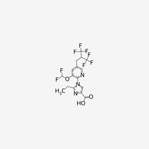 CCc1nc(C(=O)O)cn1-c1ncc(CC(C(F)(F)F)C(F)(F)F)cc1OC(F)F